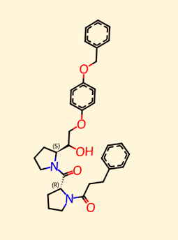 O=C(CCc1ccccc1)N1CCC[C@@H]1C(=O)N1CCC[C@H]1C(O)COc1ccc(OCc2ccccc2)cc1